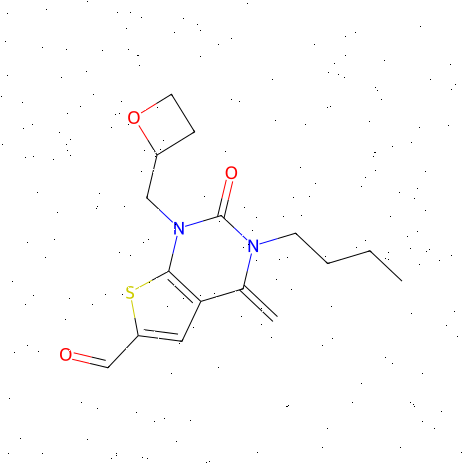 C=C1c2cc(C=O)sc2N(CC2CCO2)C(=O)N1CCCC